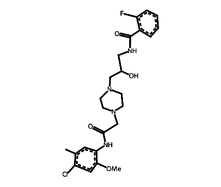 COc1cc(Cl)c(C)cc1NC(=O)CN1CCN(CC(O)CNC(=O)c2ccccc2F)CC1